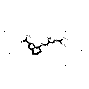 CC(=O)c1cc2cccc(OCC(O)CNC(C)C)c2o1